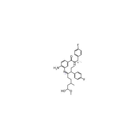 CCC(/C(CCC(C)CC(O)OC)=N\c1cc(C(=O)N[C@@H](C)c2ccc(F)cc2)ccc1N)c1ccc(F)cc1